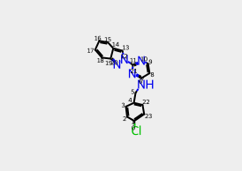 Clc1ccc(CNc2ccnc(-n3cc4ccccc4n3)n2)cc1